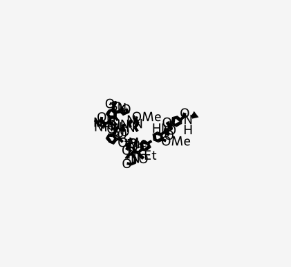 CCc1cc(C)cc(CC)c1-c1c(OC(=O)C(C)(C)C)n2n(c1=O)CCOCC2.COC(=O)c1ccccc1S(=O)(=O)NC(=O)Nc1nc(C)nc(OC)n1.COc1ccccc1C(=O)NS(=O)(=O)c1ccc(C(=O)NC2CC2)cc1.Cc1c(C(=O)c2cnn(C)c2O)ccc(S(C)(=O)=O)c1C1=NOCC1